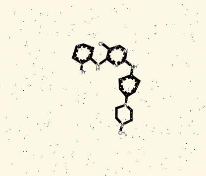 CC(C)c1ccccc1Nc1nc(Nc2ccc(N3CCN(C)CC3)cc2)ncc1Cl